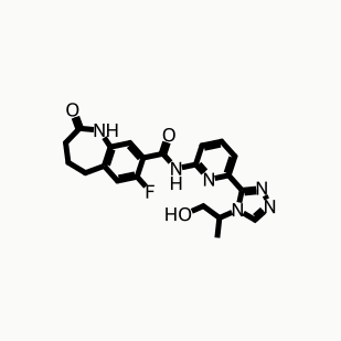 CC(CO)n1cnnc1-c1cccc(NC(=O)c2cc3c(cc2F)CCCC(=O)N3)n1